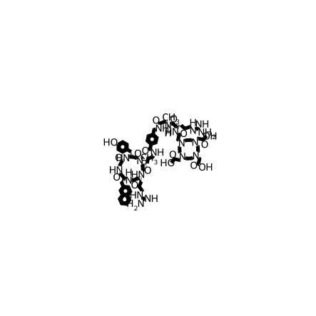 C[C@H](NC(=O)[C@H](CCCNC(=N)N)NC(=O)CN1CCN(CC(=O)O)CCN(CC(=O)O)CCN(CC(=O)O)CC1)C(=O)NCc1ccc(C(=O)NCCC[C@@H]2C(=O)N[C@@H](CCCNC(=N)N)C(=O)N[C@@H](Cc3ccc4ccccc4c3)C(=O)NCC(=O)N[C@H](Cc3ccc(O)cc3)C(=O)N2C)cc1